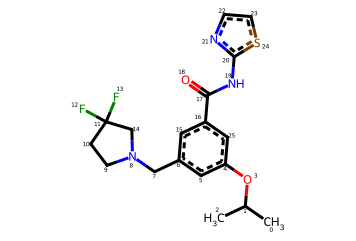 CC(C)Oc1cc(CN2CCC(F)(F)C2)cc(C(=O)Nc2nccs2)c1